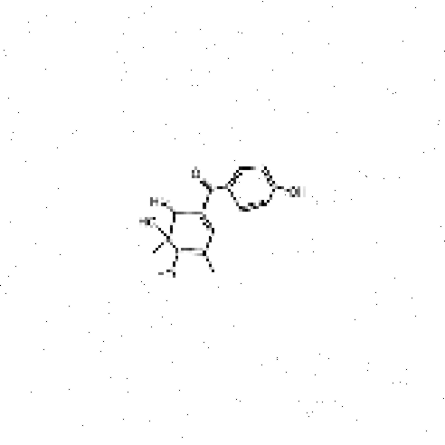 CC1=C(O)C(C)(O)C(O)C(C(=O)c2ccc(O)cc2)=C1